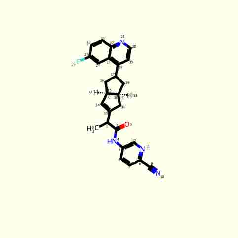 CC(C(=O)Nc1ccc(C#N)nc1)C1=C[C@H]2CC(c3ccnc4ccc(F)cc34)C[C@H]2C1